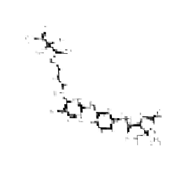 CC(C)(C(N)=O)C(=O)NCCCNc1nc(Nc2cccc(NC(=O)C3CC(=O)OC3(C)C)c2)ncc1Br